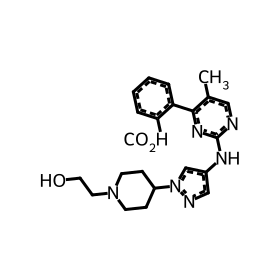 Cc1cnc(Nc2cnn(C3CCN(CCO)CC3)c2)nc1-c1ccccc1C(=O)O